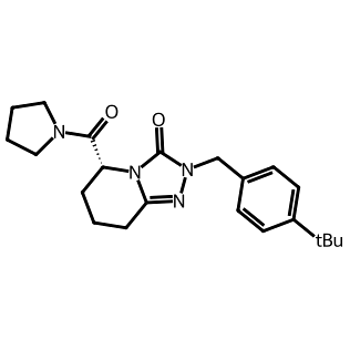 CC(C)(C)c1ccc(Cn2nc3n(c2=O)[C@@H](C(=O)N2CCCC2)CCC3)cc1